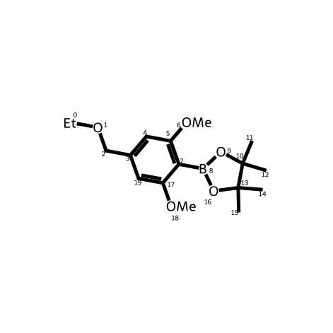 CCOCc1cc(OC)c(B2OC(C)(C)C(C)(C)O2)c(OC)c1